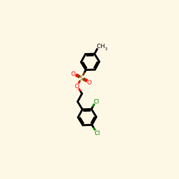 Cc1ccc(S(=O)(=O)OCCc2ccc(Cl)cc2Cl)cc1